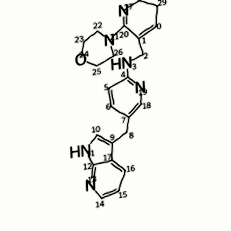 C1=C(CNc2ccc(Cc3c[nH]c4ncccc34)cn2)C(N2CCOCC2)=NCC1